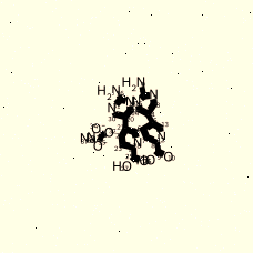 Nc1ncc(-c2ccc(C(=O)O)nc2)cn1.Nc1ncc(-c2ccc(C(=O)O)nc2)cn1.O=C([O-])[O-].[Na+].[Na+]